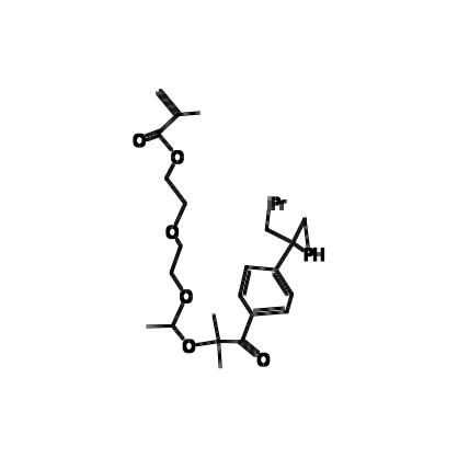 C=C(C)C(=O)OCCOCCOC(C)OC(C)(C)C(=O)c1ccc(C2(CC(C)C)CP2)cc1